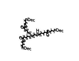 CCCCCCCCCCCCCOC(=O)CCCCNCCCN(CCCCC(=O)OCCCCCCCCCCCCC)CCCCC(=O)OCCCCCCCCCCCCC